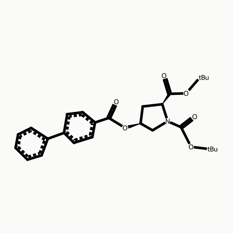 CC(C)(C)OC(=O)[C@@H]1C[C@H](OC(=O)c2ccc(-c3ccccc3)cc2)CN1C(=O)OC(C)(C)C